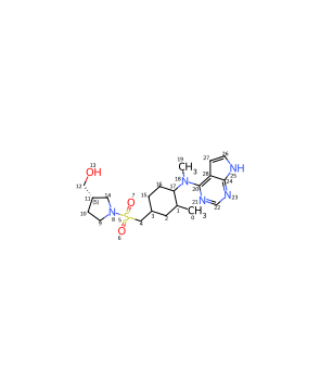 CC1CC(CS(=O)(=O)N2CC[C@H](CO)C2)CCC1N(C)c1ncnc2[nH]ccc12